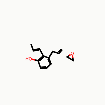 C1CO1.C=CCc1cccc(O)c1C=CC